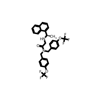 C[C@@H](NCC(=O)N(Cc1ccc(OC(F)(F)F)cc1)Cc1ccc(OC(F)(F)F)cc1)c1cccc2ccccc12